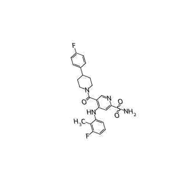 Cc1c(F)cccc1Nc1cc(S(N)(=O)=O)ncc1C(=O)N1CCC(c2ccc(F)cc2)CC1